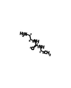 CCNC(=O)NCCN